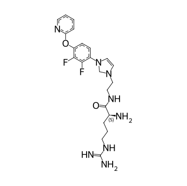 N=C(N)NCCC[C@H](N)C(=O)NCCN1C=CN(c2ccc(Oc3ccccn3)c(F)c2F)C1